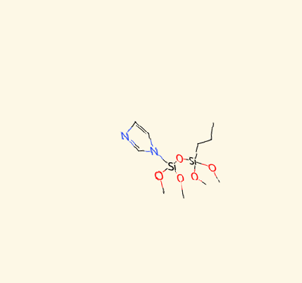 CCC[Si](OC)(OC)O[Si](OC)(OC)n1ccnc1